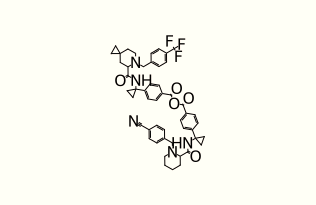 N#Cc1ccc(CN2CCCCC2C(=O)NC2(c3ccc(C(=O)OC(=O)c4ccc(C5(NC(=O)C6CC7(CCN6Cc6ccc(C(F)(F)F)cc6)CC7)CC5)cc4)cc3)CC2)cc1